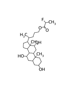 CC(F)C(=O)OCCCC(C)C1CCC2C3C(O)CC4CC(O)CCC4(C)C3CC(O)C12C